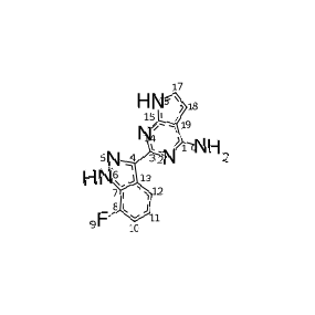 Nc1nc(-c2n[nH]c3c(F)cccc23)nc2[nH]ccc12